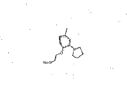 COCCOc1ccc(F)cc1N1CCCC1